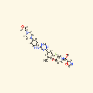 N#Cc1cc(-c2ncnc(Nc3ccc(N4CCN(C5COC5)CC4)cc3)n2)ccc1O[C@H]1CCN(C(=O)c2cnco2)C[C@@H]1F